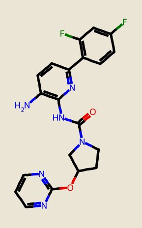 Nc1ccc(-c2ccc(F)cc2F)nc1NC(=O)N1CCC(Oc2ncccn2)C1